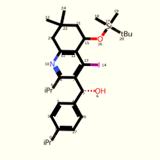 CC(C)c1ccc([C@@H](O)c2c(C(C)C)nc3c(c2I)C(O[Si](C)(C)C(C)(C)C)CC(C)(C)C3)cc1